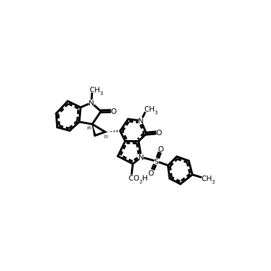 Cc1ccc(S(=O)(=O)n2c(C(=O)O)cc3c([C@@H]4C[C@@]45C(=O)N(C)c4ccccc45)cn(C)c(=O)c32)cc1